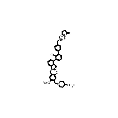 COc1cc(Cn2ncc3c(-c4cccc(-c5ccc(CNC[C@@H]6CCC(=O)N6)cc5)c4Cl)cccc32)c(Cl)cc1CN1CCC(C(=O)O)CC1